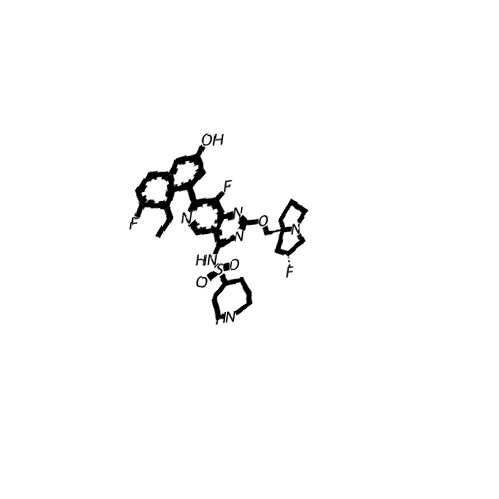 CCc1c(F)ccc2cc(O)cc(-c3ncc4c(NS(=O)(=O)C5CCCNCC5)nc(OC[C@@]56CCCN5C[C@H](F)C6)nc4c3F)c12